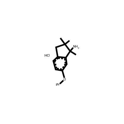 CC(C)Oc1ccc2c(c1)C(C)(N)C(C)(C)C2.Cl